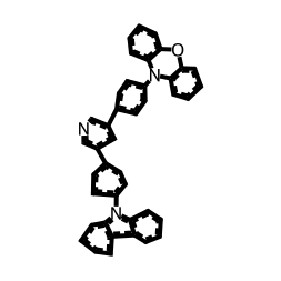 c1ccc2c(c1)Oc1ccccc1N2c1ccc(-c2cncc(-c3ccc(-n4c5ccccc5c5ccccc54)cc3)c2)cc1